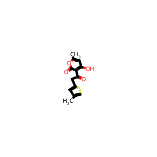 Cc1csc(CC(=O)c2c(O)cc(C)oc2=O)c1